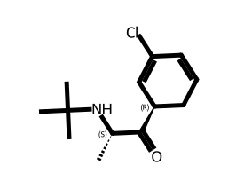 C[C@H](NC(C)(C)C)C(=O)[C@H]1C=C(Cl)C=CC1